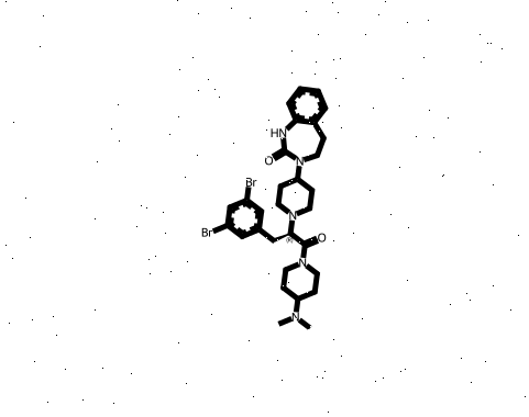 CN(C)C1CCN(C(=O)[C@@H](Cc2cc(Br)cc(Br)c2)N2CCC(N3CCc4ccccc4NC3=O)CC2)CC1